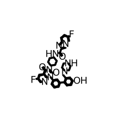 O=C(N[C@H]1CC[C@@H](n2c(=O)c3cc(F)cnc3n(-c3cccc(-c4ccc(O)cc4CN4CCNCC4)c3)c2=O)CC1)c1cn2cc(F)ccc2n1